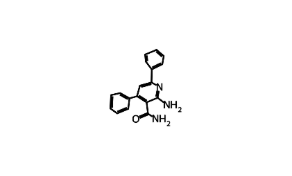 NC(=O)c1c(-c2ccccc2)cc(-c2ccccc2)nc1N